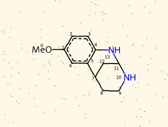 COc1ccc2c(c1)C1CCNC(C1)N2